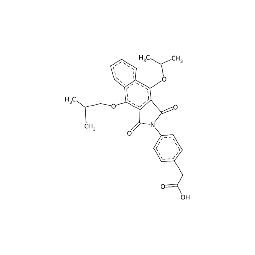 CC(C)COc1c2c(c(OC(C)C)c3ccccc13)C(=O)N(c1ccc(CC(=O)O)cc1)C2=O